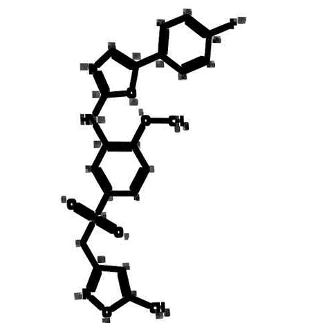 COc1ccc(S(=O)(=O)Cc2cc(C)on2)cc1Nc1ncc(-c2ccc(F)cc2)o1